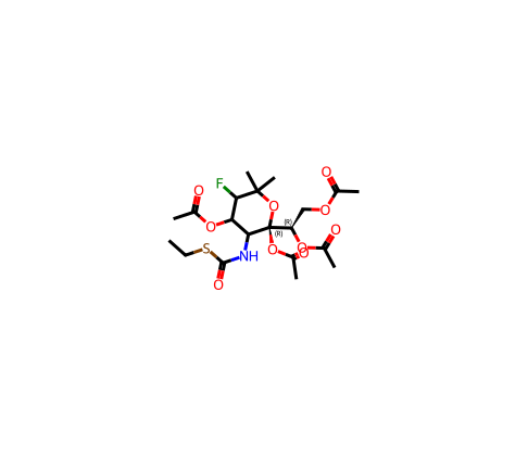 CCSC(=O)NC1C(OC(C)=O)C(F)C(C)(C)O[C@]1(OC(C)=O)[C@@H](COC(C)=O)OC(C)=O